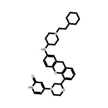 O=c1cc(N2CCOC(c3cccc4c3Oc3ccc(NC5CCN(CCC6CCCCC6)CC5)cc3C4)C2)cc[nH]1